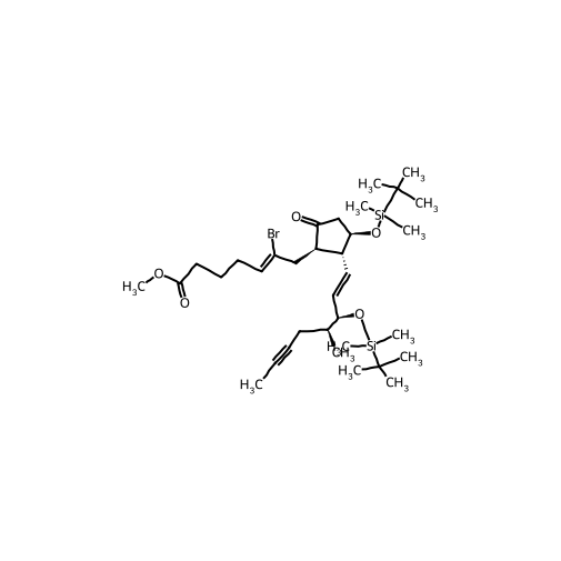 CC#CC[C@H](C)[C@@H](/C=C/[C@H]1[C@H](O[Si](C)(C)C(C)(C)C)CC(=O)[C@@H]1CC(Br)=CCCCC(=O)OC)O[Si](C)(C)C(C)(C)C